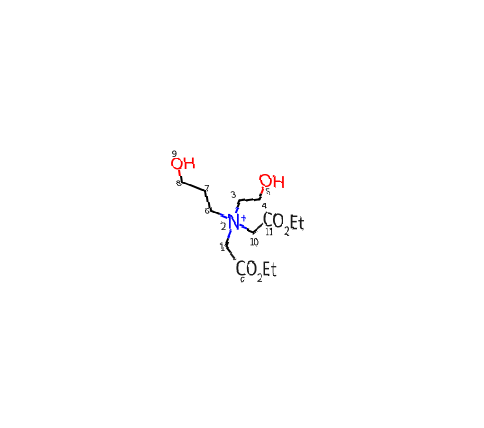 CCOC(=O)C[N+](CCO)(CCCO)CC(=O)OCC